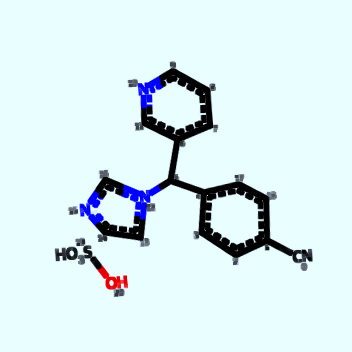 N#Cc1ccc(C(c2cccnc2)n2ccnc2)cc1.O=S(=O)(O)O